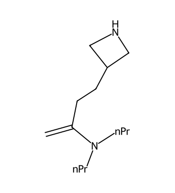 C=C(CCC1CNC1)N(CCC)CCC